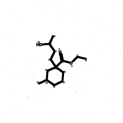 CCOC(=O)C1(CCC(C)O)CCCC(C)C1